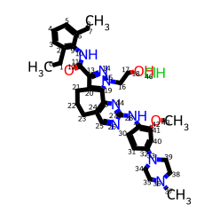 CCc1cccc(CC)c1NC(=O)c1nn(CCO)c2c1CCCc1cnc(Nc3ccc(N4CCN(C)CC4)cc3OC)nc1-2.Cl